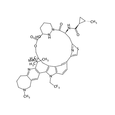 CO[C@@H](C)c1nc2c(cc1-c1c3c4cc(ccc4n1CC(F)(F)F)-c1csc(n1)C[C@H](NC(=O)[C@H]1C[C@@H]1C)C(=O)N1CCC[C@@](O)(N1)C(=O)OCC(C)(C)C3)CN(C)CCC2